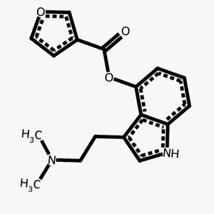 CN(C)CCc1c[nH]c2cccc(OC(=O)c3ccoc3)c12